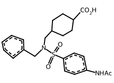 CC(=O)Nc1ccc(S(=O)(=O)N(Cc2ccccc2)CC2CCC(C(=O)O)CC2)cc1